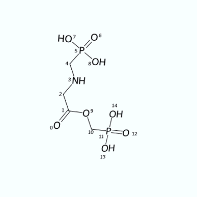 O=C(CNCP(=O)(O)O)OCP(=O)(O)O